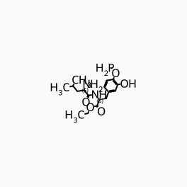 CCOC(=O)[C@H](Cc1ccc(OP)c(O)c1)NC(=O)[C@@H](N)CC(C)C